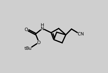 CC(C)(C)OC(=O)NC1=C2CC(CC#N)(C2)C1